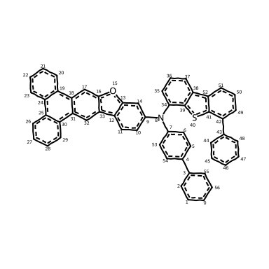 c1ccc(-c2ccc(N(c3ccc4c(c3)oc3cc5c6ccccc6c6ccccc6c5cc34)c3cccc4c3sc3c(-c5ccccc5)cccc34)cc2)cc1